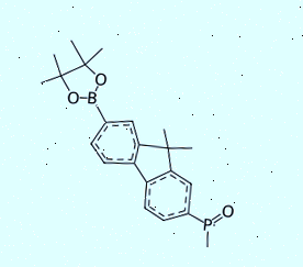 C[P](=O)c1ccc2c(c1)C(C)(C)c1cc(B3OC(C)(C)C(C)(C)O3)ccc1-2